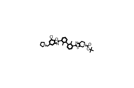 Cc1c(-c2nc3cc(CN4CCCC4)cc(Cl)c3o2)cccc1-c1cccc(-c2nc3c(s2)CN(C(=O)OC(C)(C)C)CC3)c1C